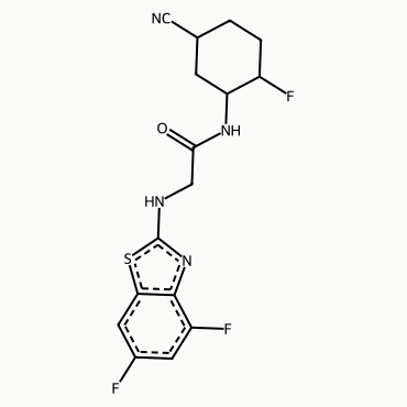 N#CC1CCC(F)C(NC(=O)CNc2nc3c(F)cc(F)cc3s2)C1